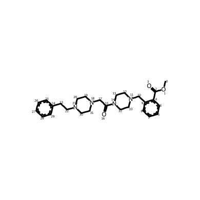 COC(=O)c1ccccc1CN1CCN(C(=O)CN2CCN(CCc3ccccc3)CC2)CC1